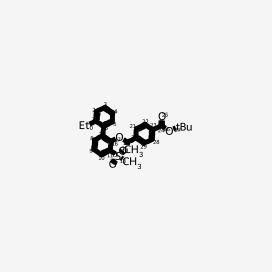 CCc1ccccc1-c1cccc(S(C)(=O)=O)c1OC(C)c1ccc(C(=O)OC(C)(C)C)cc1